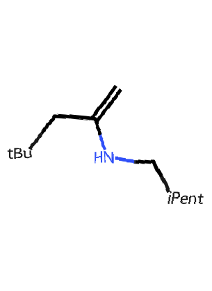 C=C(CC(C)(C)C)NCC(C)CCC